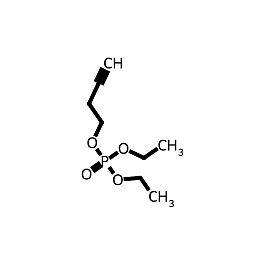 C#CCCOP(=O)(OCC)OCC